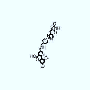 COc1ccc(-c2ncc(CNCC3CCN(c4nccc(C=C5SC(=O)NC5=O)n4)CC3)cc2C(=O)O)c(OC)c1